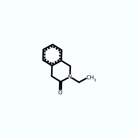 CCN1Cc2ccccc2CC1=O